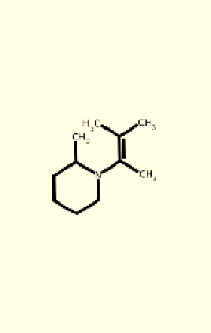 CC(C)=C(C)N1CCCCC1C